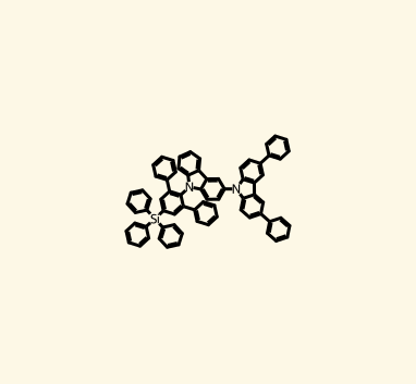 c1ccc(-c2ccc3c(c2)c2cc(-c4ccccc4)ccc2n3-c2ccc3c(c2)c2ccccc2n3-c2c(-c3ccccc3)cc([Si](c3ccccc3)(c3ccccc3)c3ccccc3)cc2-c2ccccc2)cc1